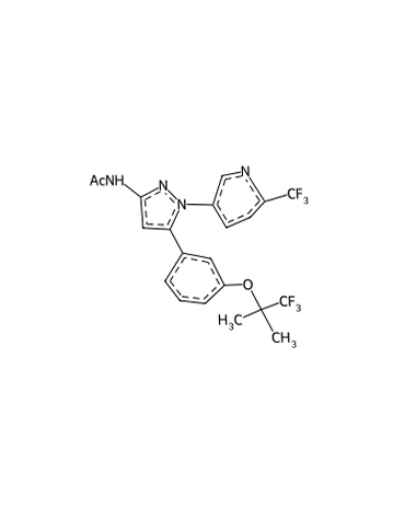 CC(=O)Nc1cc(-c2cccc(OC(C)(C)C(F)(F)F)c2)n(-c2ccc(C(F)(F)F)nc2)n1